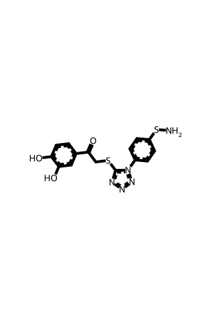 NSc1ccc(-n2nnnc2SCC(=O)c2ccc(O)c(O)c2)cc1